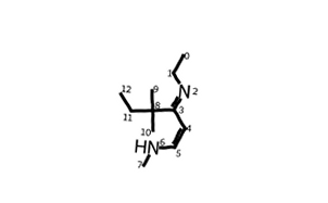 CC/N=C(/C=C\NC)C(C)(C)CC